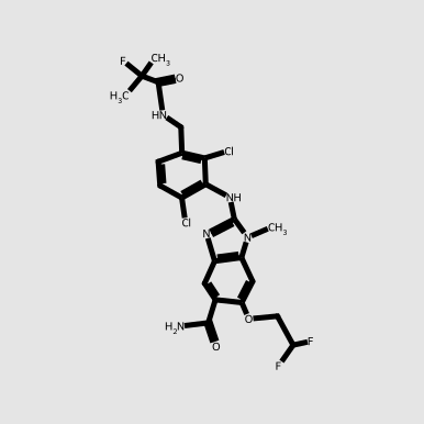 Cn1c(Nc2c(Cl)ccc(CNC(=O)C(C)(C)F)c2Cl)nc2cc(C(N)=O)c(OCC(F)F)cc21